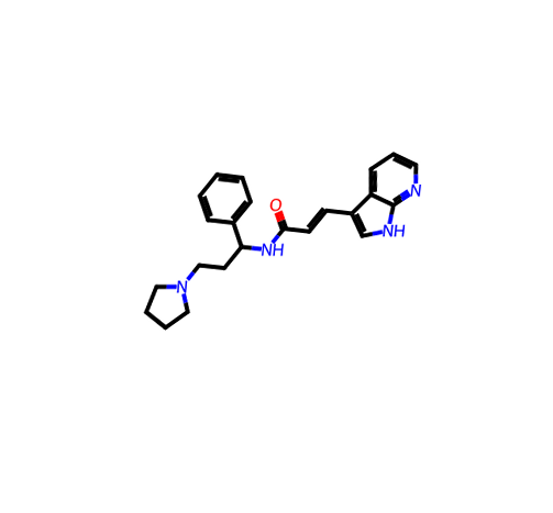 O=C(/C=C/c1c[nH]c2ncccc12)NC(CCN1CCCC1)c1ccccc1